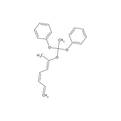 C=C/C=C\C=C(/C)OC(C)(Oc1ccccc1)Oc1ccccc1